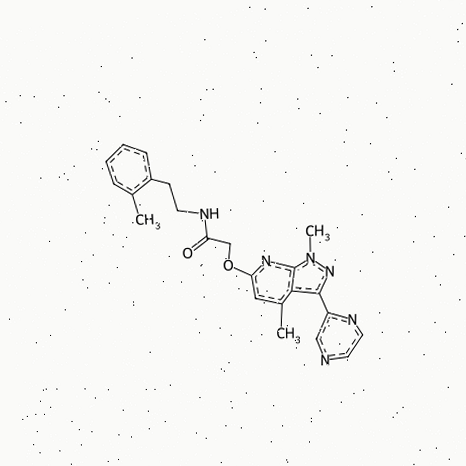 Cc1ccccc1CCNC(=O)COc1cc(C)c2c(-c3cnccn3)nn(C)c2n1